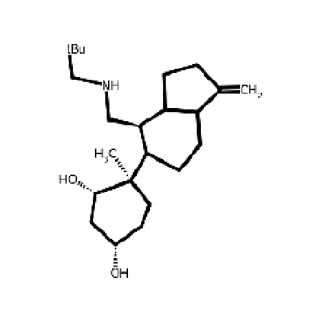 C=C1CCC2C1CCC([C@@]1(C)CC[C@H](O)C[C@@H]1O)[C@H]2CNCC(C)(C)C